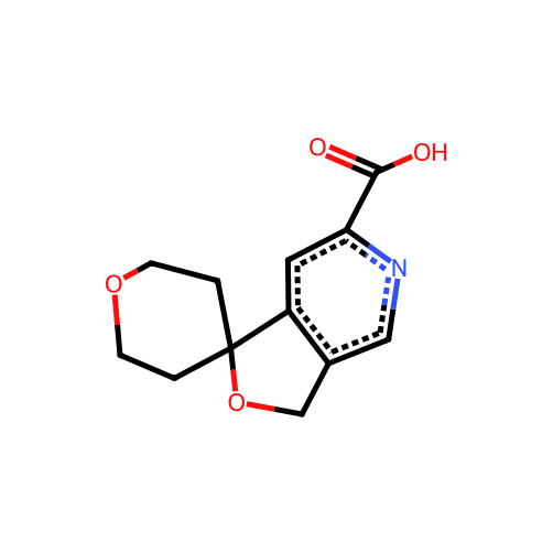 O=C(O)c1cc2c(cn1)COC21CCOCC1